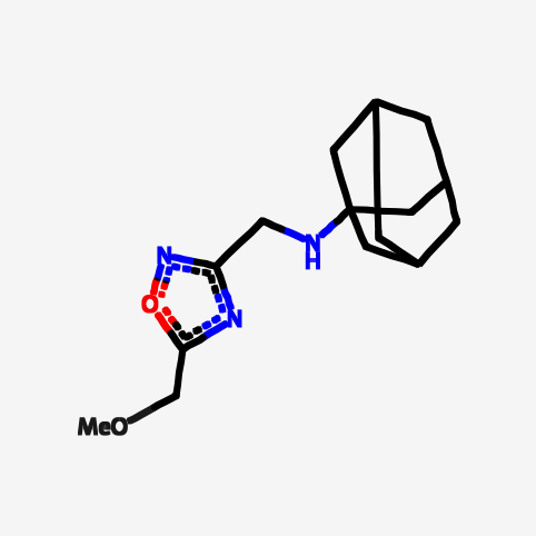 COCc1nc(CNC23CC4CC(CC(C4)C2)C3)no1